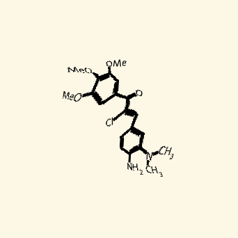 COc1cc(C(=O)C(Cl)=Cc2ccc(N)c(N(C)C)c2)cc(OC)c1OC